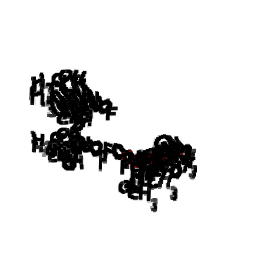 CC(=O)N(NCc1ccccc1Cl)[C@H](COC(=O)Nc1cc2cc(F)ccc2cn1)C(C)C(C)(C)O.CC(=O)N(NCc1ccccc1Cl)[C@H](COC(=O)Nc1cc2cc(F)ccc2cn1)C(C)C(C)(C)O.CC(=O)N([C@H](CON(C(=O)NCc1cccc(F)c1Cl)c1cc2cc(F)ccc2cn1)CN1CCN(C)C(=O)C1)N(Cc1ccccc1Cl)[C@H](COC(=O)Nc1cc2cc(F)ccc2cn1)CN(C)C